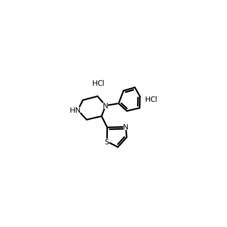 Cl.Cl.c1ccc(N2CCNCC2c2nccs2)cc1